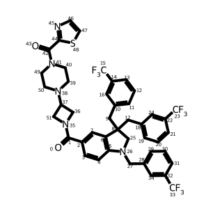 O=C(c1ccc2c(c1)C(Cc1cccc(C(F)(F)F)c1)(Cc1cccc(C(F)(F)F)c1)CN2Cc1cccc(C(F)(F)F)c1)N1CC(N2CCN(C(=O)c3nccs3)CC2)C1